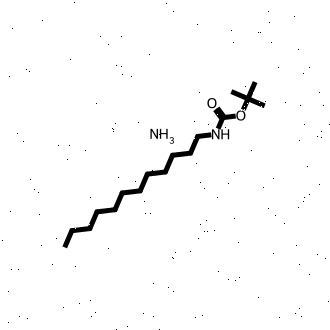 CCCCCCCCCCCCNC(=O)OC(C)(C)C.N